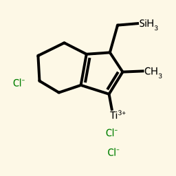 CC1=[C]([Ti+3])C2=C(CCCC2)C1C[SiH3].[Cl-].[Cl-].[Cl-]